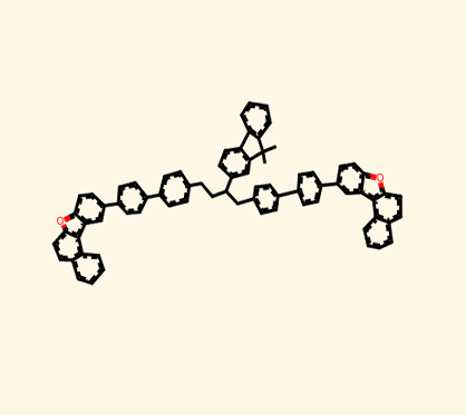 CC1(C)c2ccccc2-c2ccc(C(CCc3ccc(-c4ccc(-c5ccc6oc7ccc8ccccc8c7c6c5)cc4)cc3)Cc3ccc(-c4ccc(-c5ccc6oc7ccc8ccccc8c7c6c5)cc4)cc3)cc21